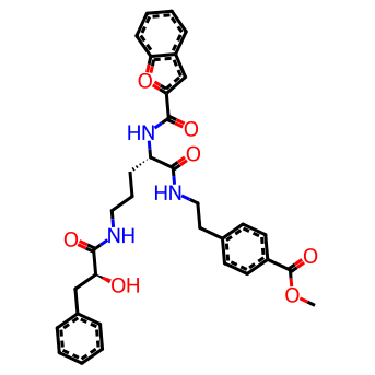 COC(=O)c1ccc(CCNC(=O)[C@H](CCCNC(=O)[C@@H](O)Cc2ccccc2)NC(=O)c2cc3ccccc3o2)cc1